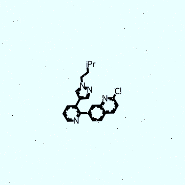 CC(C)CCn1cc(-c2cccnc2-c2ccc3ccc(Cl)nc3c2)cn1